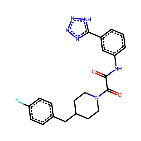 O=C(Nc1cccc(-c2nnn[nH]2)c1)C(=O)N1CCC(Cc2ccc(F)cc2)CC1